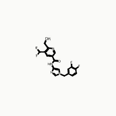 O=C(Nc1cn(Cc2ccc(F)c(F)c2)cn1)c1cnc(CO)c(C(F)F)c1